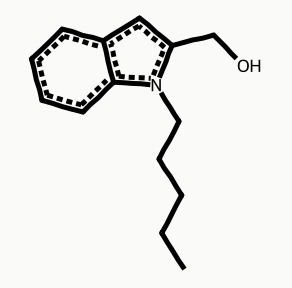 CCCCCn1c(CO)cc2ccccc21